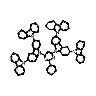 C1=Cc2c(n(-c3ccc4c(c3)c3c(n4-c4cc(-n5c6ccc(-n7c8ccccc8c8ccccc87)cc6c6cc(-n7c8ccccc8c8ccccc87)ccc65)nc(-c5ccccc5)n4)C=CC(n4c5ccccc5c5ccccc54)C3)c3ccccc23)CC1